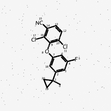 CC1(c2cc(F)cc(Oc3c(Cl)ccc(C#N)c3Cl)c2)CC1